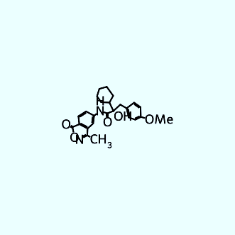 COc1ccc(CC(O)(C(=O)Nc2ccc3c(=O)onc(C)c3c2)C2CCCCC2)cc1